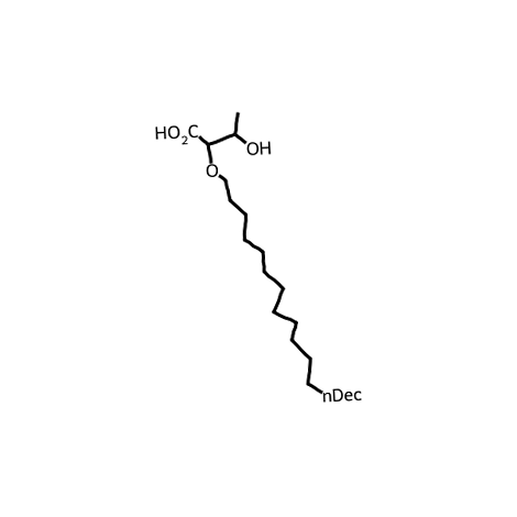 CCCCCCCCCCCCCCCCCCCCCCOC(C(=O)O)C(C)O